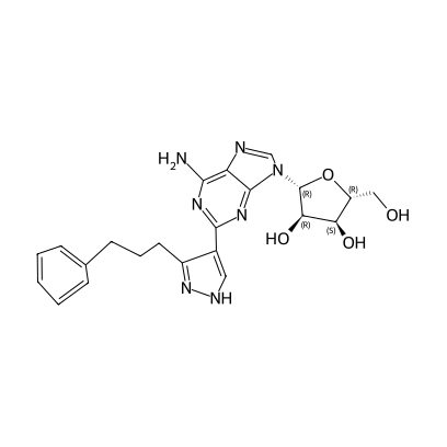 Nc1nc(-c2c[nH]nc2CCCc2ccccc2)nc2c1ncn2[C@@H]1O[C@H](CO)[C@@H](O)[C@H]1O